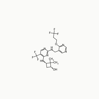 CC1(C)[C@@H](O)C[C@H]1Nc1nc(NCc2cncnc2OCCC(F)(F)F)ncc1C(F)(F)F